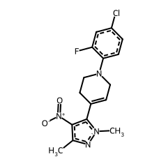 Cc1nn(C)c(C2=CCN(c3ccc(Cl)cc3F)CC2)c1[N+](=O)[O-]